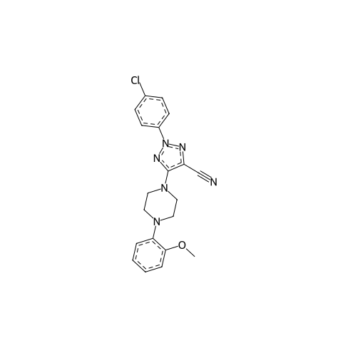 COc1ccccc1N1CCN(c2nn(-c3ccc(Cl)cc3)nc2C#N)CC1